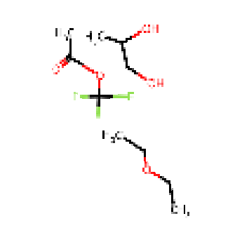 CC(=O)OC(F)(F)F.CC(O)CO.CCOCC